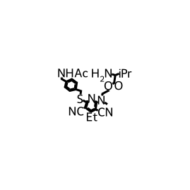 CCc1c(C#N)c(SCc2ccc(CNC(C)=O)cc2)nc(N(C)CCOC(=O)C(N)C(C)C)c1C#N